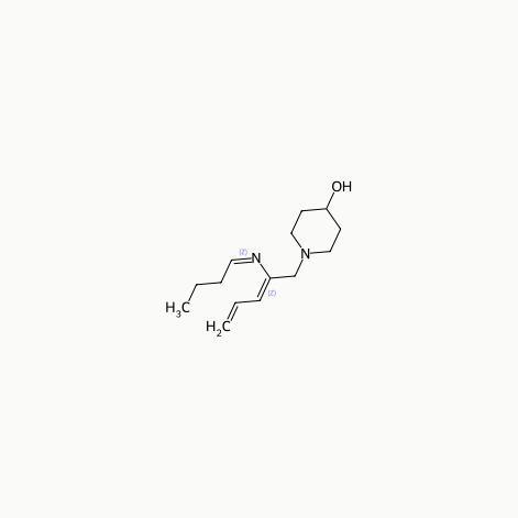 C=C/C=C(CN1CCC(O)CC1)\N=C/CCC